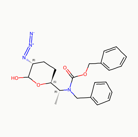 C[C@H]([C@@H]1CC[C@@H](N=[N+]=[N-])C(O)O1)N(Cc1ccccc1)C(=O)OCc1ccccc1